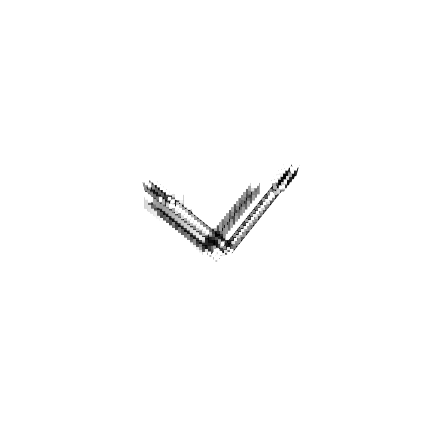 O.O.O.O.O.O.O.O.O.O.O.O.O.O.O.O.O.O.O.O.O.O.O.O.O.O.O.O.O.O.O.O.O.O.O.O.O.O.O.O.P.[W].[W].[W].[W].[W].[W].[W].[W].[W].[W].[W].[W]